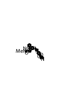 CNC(=O)C[C@@H]1CCC[C@H]1C(C#N)(c1ccccc1)C1CCN(CC2CN(c3ccc(S(=O)(=O)c4ccncc4)cc3)C2)CC1